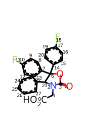 O=C(O)CN1C(=O)OC(c2ccc(F)cc2)(c2ccc(F)cc2)C1c1ccccc1